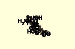 Nc1nc(/C(=N/O)C(=O)N[C@@H]2C(=O)N3C(C(=O)O)=C(SCC4=CC(=O)OC4)CS[C@@H]23)cs1